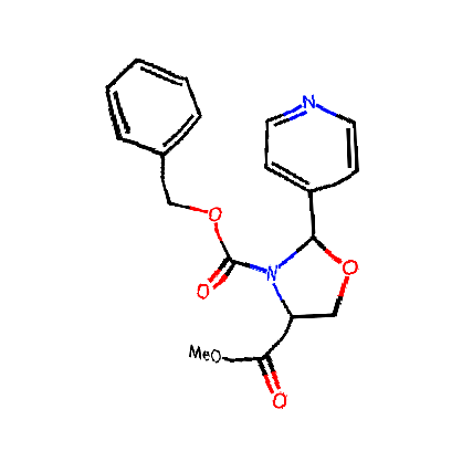 COC(=O)C1COC(c2ccncc2)N1C(=O)OCc1ccccc1